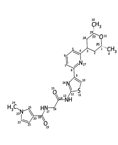 C[C@@H]1CC(c2cccc(-c3csc(NC(=O)CNC(=O)c4ccn(C)c4)n3)n2)C[C@H](C)O1